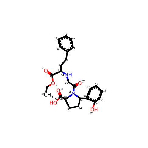 CCOC(=O)C(CCc1ccccc1)NCC(=O)N1C(C(=O)O)CCC1c1ccccc1O